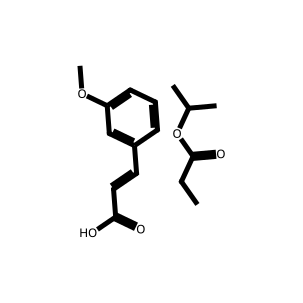 CCC(=O)OC(C)C.COc1cccc(/C=C/C(=O)O)c1